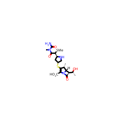 CSC(C(=O)N(C)C(N)=O)[C@@H]1C[C@H](SC2=C(C(=O)O)N3C(=O)[C@H]([C@@H](C)O)[C@H]3[C@H]2C)CN1